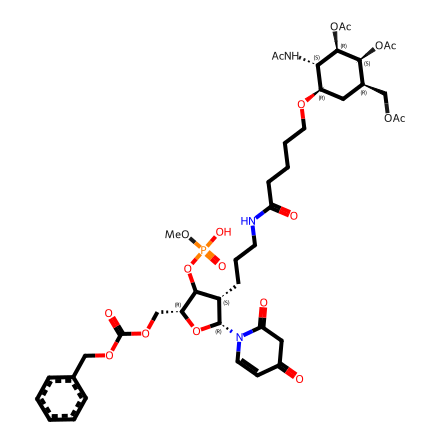 COP(=O)(O)OC1[C@@H](COC(=O)OCc2ccccc2)O[C@@H](N2C=CC(=O)CC2=O)[C@H]1CCCNC(=O)CCCCO[C@@H]1C[C@H](COC(C)=O)[C@H](OC(C)=O)[C@H](OC(C)=O)[C@H]1NC(C)=O